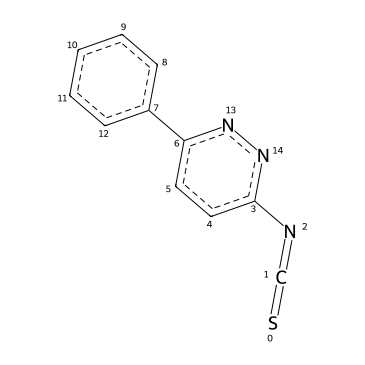 S=C=Nc1ccc(-c2ccccc2)nn1